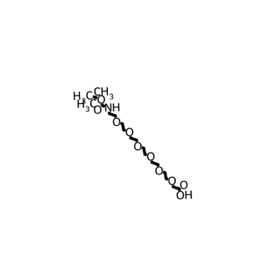 CC(C)(C)OC(=O)NCCOCCOCCOCCOCCOCCOCC(=O)O